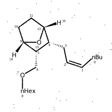 CCCC/C=C\C[C@@H]1[C@H](COCCCCCC)[C@@H]2CC[C@H]1O2